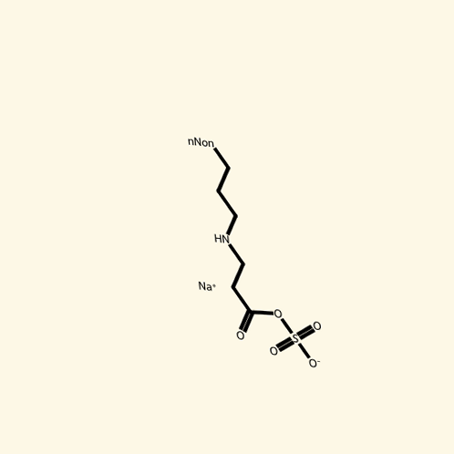 CCCCCCCCCCCCNCCC(=O)OS(=O)(=O)[O-].[Na+]